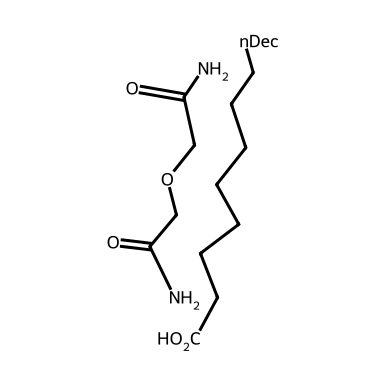 CCCCCCCCCCCCCCCCCC(=O)O.NC(=O)COCC(N)=O